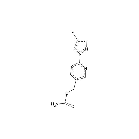 NC(=O)OCc1ccc(-n2cc(F)cn2)nc1